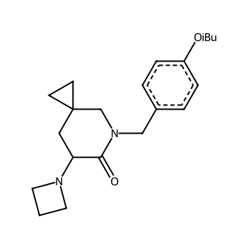 CC(C)COc1ccc(CN2CC3(CC3)CC(N3CCC3)C2=O)cc1